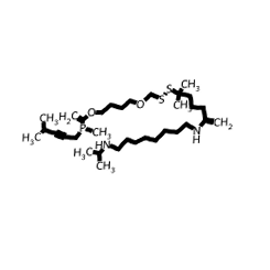 C=C(CCCC(C)(C)SSCOCCCCOC(=C)P(C)CC#CC(C)C)NCCCCCCCCNC(C)C